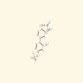 O=c1[nH]c2ccc(-c3ccc(OC(F)(F)F)cc3Cl)cc2[nH]1